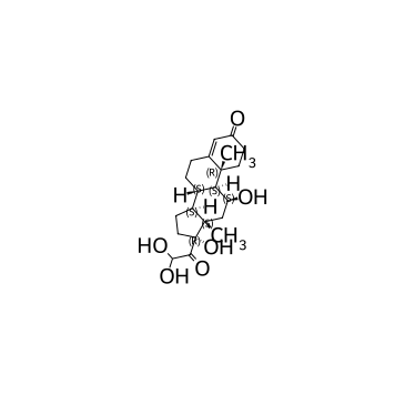 C[C@]12CCC(=O)C=C1CC[C@@H]1[C@@H]2[C@@H](O)C[C@@]2(C)[C@H]1CC[C@]2(O)C(=O)C(O)O